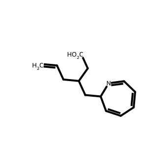 C=CCC(CC(=O)O)CC1C=CC=CC=N1